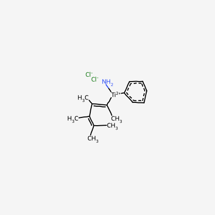 CC(C)=C(C)C(C)=[C](C)[Ti+2]([NH2])[c]1ccccc1.[Cl-].[Cl-]